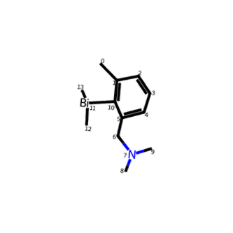 Cc1cccc(CN(C)C)[c]1[Bi]([CH3])[CH3]